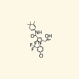 CC1=CC(NC(=O)c2cc(C[C@H](C)O)n(-c3ccc(Cl)cc3C(F)(F)F)c2C)=CCC1(C)C